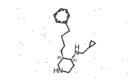 c1ccc(CCCC[C@@H]2CNCC[C@@H]2NCC2CC2)cc1